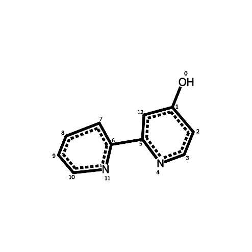 Oc1ccnc(-c2ccccn2)c1